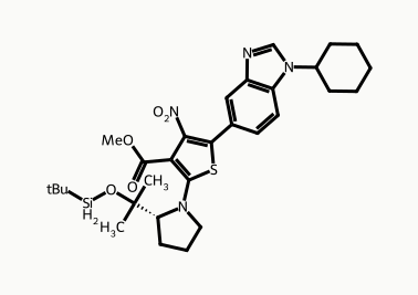 COC(=O)c1c(N2CCC[C@@H]2C(C)(C)O[SiH2]C(C)(C)C)sc(-c2ccc3c(c2)ncn3C2CCCCC2)c1[N+](=O)[O-]